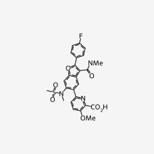 CNC(=O)c1c(-c2ccc(F)cc2)oc2cc(N(C)S(C)(=O)=O)c(-c3ccc(OC)c(C(=O)O)n3)cc12